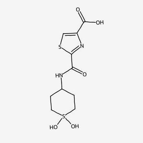 O=C(O)c1csc(C(=O)NC2CCS(O)(O)CC2)n1